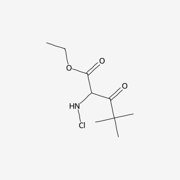 CCOC(=O)C(NCl)C(=O)C(C)(C)C